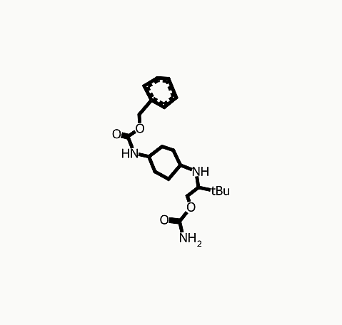 CC(C)(C)C(COC(N)=O)NC1CCC(NC(=O)OCc2ccccc2)CC1